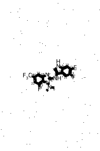 CN(C)n1c(Nc2c[nH]c3cc(F)c(F)cc23)nc2cc(C(F)(F)F)cc(F)c21